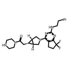 CC(C)CCNc1nc(N2C[C@@H]3[C@@H](CC(=O)N4CCNCC4)[C@@H]3C2)c2c(n1)C(F)(F)CC2